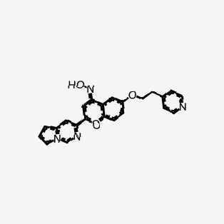 ON=c1cc(-c2cc3cccn3cn2)oc2ccc(OCCc3ccncc3)cc12